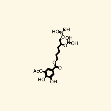 CC(=O)Oc1cc(C(=O)OCCCCC(CON(O)O)ON(O)O)cc(O)c1O